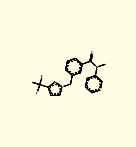 CN(C(=O)c1cccc(Cn2ccc(C(F)(F)F)n2)c1)c1cccnc1